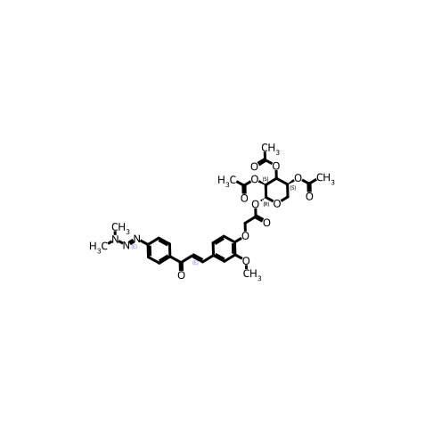 COc1cc(/C=C/C(=O)c2ccc(/N=N/N(C)C)cc2)ccc1OCC(=O)O[C@H]1OC[C@H](OC(C)=O)C(OC(C)=O)[C@@H]1OC(C)=O